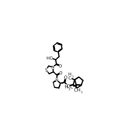 CC1(C)C2CCC1(C)C(OC(=O)C1CCCN1C(=O)C1CSCN1C(=O)C(O)Cc1ccccc1)C2